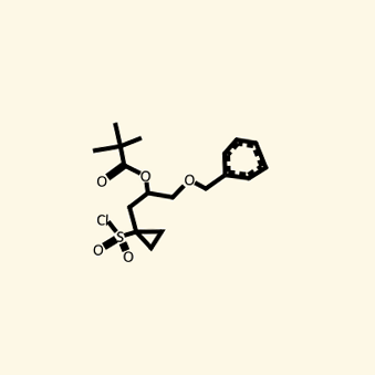 CC(C)(C)C(=O)OC(COCc1ccccc1)CC1(S(=O)(=O)Cl)CC1